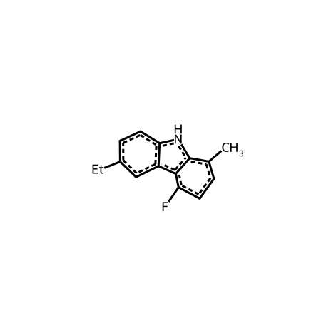 CCc1ccc2[nH]c3c(C)ccc(F)c3c2c1